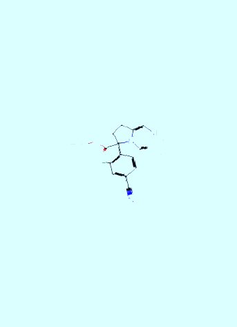 C=CN1/C(=C\N)CCC1(C(=O)OC)c1ccc(C#N)cc1Cl